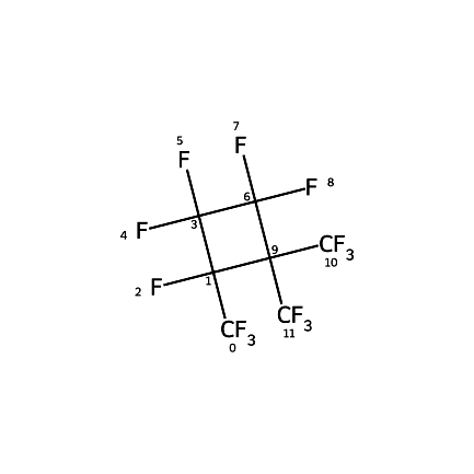 FC(F)(F)C1(F)C(F)(F)C(F)(F)C1(C(F)(F)F)C(F)(F)F